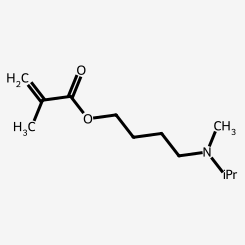 C=C(C)C(=O)OCCCCN(C)C(C)C